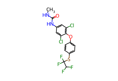 CNC(=O)Nc1cc(Cl)c(Oc2ccc(SC(F)(F)C(F)F)cc2)c(Cl)c1